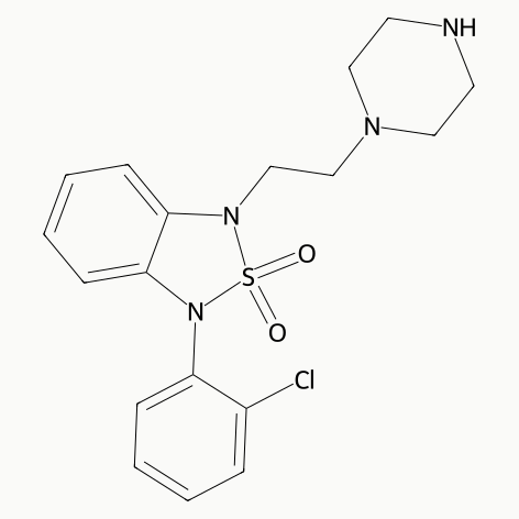 O=S1(=O)N(CCN2CCNCC2)c2ccccc2N1c1ccccc1Cl